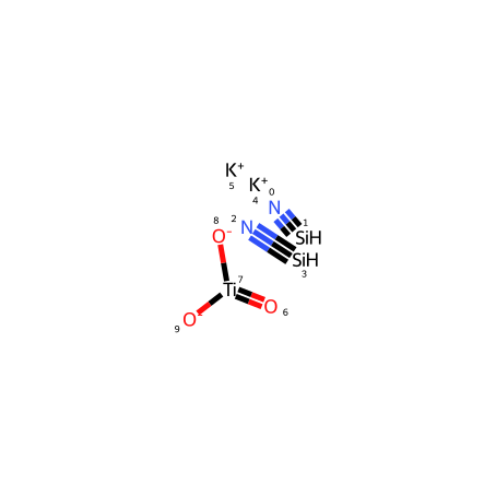 N#[SiH].N#[SiH].[K+].[K+].[O]=[Ti]([O-])[O-]